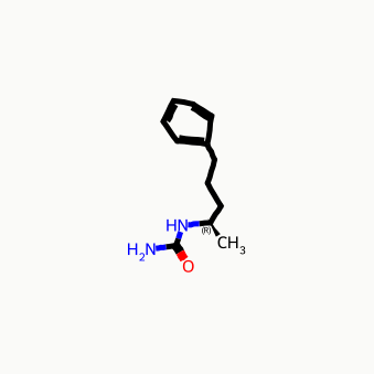 C[C@H](CCCc1ccccc1)NC(N)=O